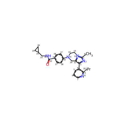 Cc1nc(-c2cccnc2C(C)C)c2n1CCN(c1ccc(C(=O)NCC3CC3)cc1)C2